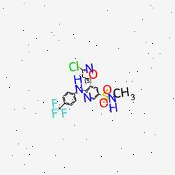 CNS(=O)(=O)c1cnc(Nc2ccc(C(F)(F)F)cc2)c([C@@H]2CC(Cl)=NO2)c1